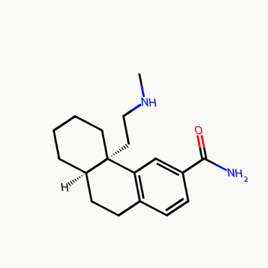 CNCC[C@@]12CCCC[C@@H]1CCc1ccc(C(N)=O)cc12